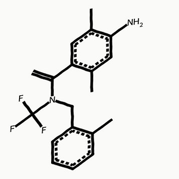 C=C(c1cc(C)c(N)cc1C)N(Cc1ccccc1C)C(F)(F)F